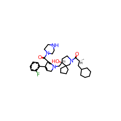 C[C@H](CC1CCCCC1)C(=O)N1CC[C@@](O)(CN2C=C(C(=O)N3CCNCC3)C(c3ccccc3F)=CC2)C2(CCCC2)C1